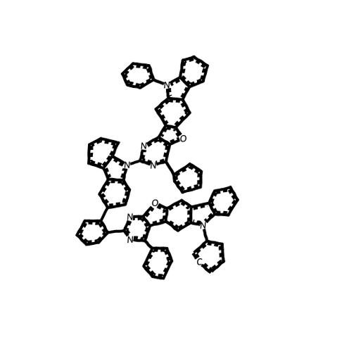 c1ccc(-c2nc(-n3c4ccccc4c4cc(-c5ccccc5-c5nc(-c6ccccc6)c6c(n5)oc5cc7c8ccccc8n(-c8ccccc8)c7cc56)ccc43)nc3c2oc2cc4c5ccccc5n(-c5ccccc5)c4cc23)cc1